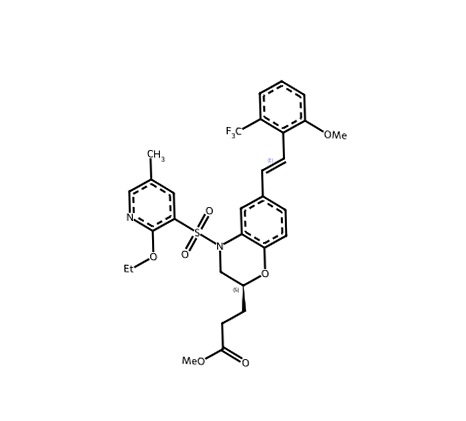 CCOc1ncc(C)cc1S(=O)(=O)N1C[C@H](CCC(=O)OC)Oc2ccc(/C=C/c3c(OC)cccc3C(F)(F)F)cc21